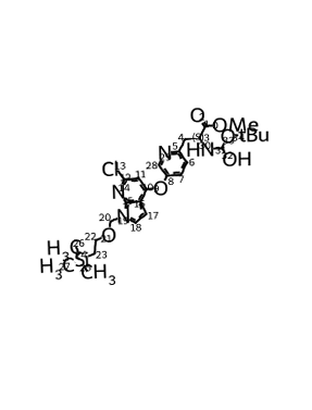 COC(=O)[C@H](Cc1ccc(Oc2cc(Cl)nc3c2ccn3COCC[Si](C)(C)C)cn1)NC(O)OC(C)(C)C